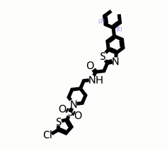 C/C=C\C(=C/C)c1ccc2nc(CC(=O)NCC3CCN(S(=O)(=O)c4ccc(Cl)s4)CC3)sc2c1